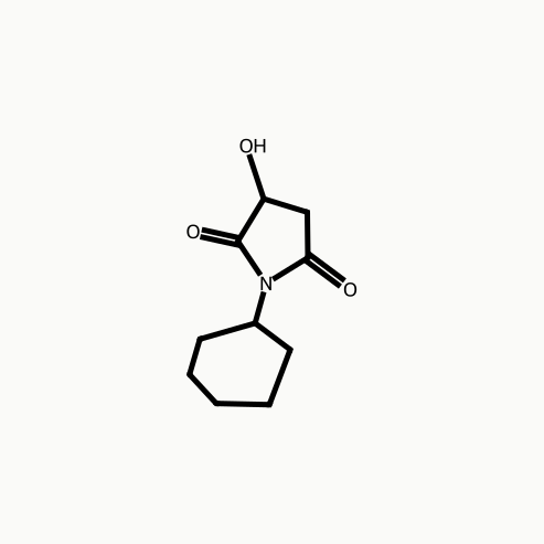 O=C1CC(O)C(=O)N1C1CCCCC1